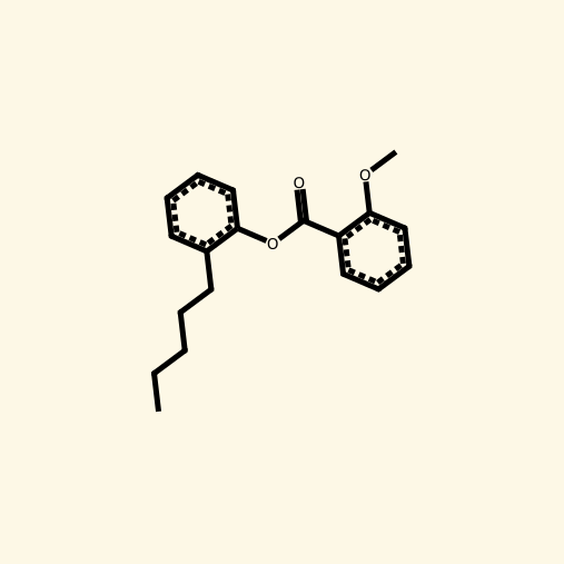 CCCCCc1ccccc1OC(=O)c1ccccc1OC